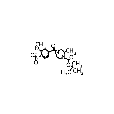 COc1cc(C(=O)N2CCN(C(=O)OC(C)(C)C)C(C)C2)ccc1[N+](=O)[O-]